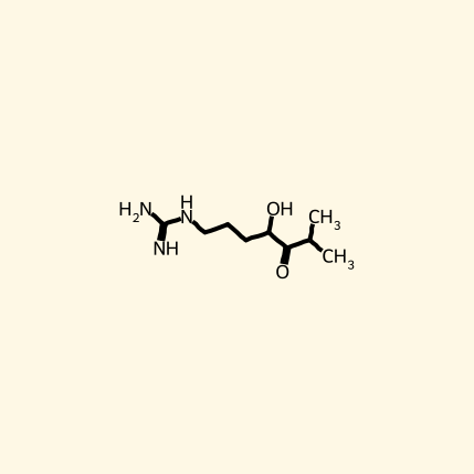 CC(C)C(=O)C(O)CCCNC(=N)N